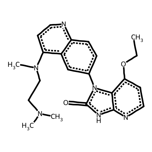 CCOc1ccnc2[nH]c(=O)n(-c3ccc4nccc(N(C)CCN(C)C)c4c3)c12